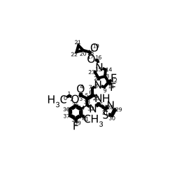 CCOC(=O)C1=C(CN2CC(F)(F)C3CN(COC(=O)C4CC4)CC32)NC(c2nccs2)=N[C@H]1c1cccc(F)c1C